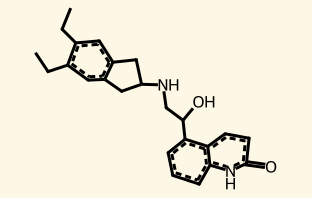 CCc1cc2c(cc1CC)CC(NCC(O)c1cccc3[nH]c(=O)ccc13)C2